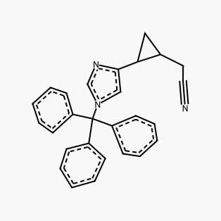 N#CCC1CC1c1cn(C(c2ccccc2)(c2ccccc2)c2ccccc2)cn1